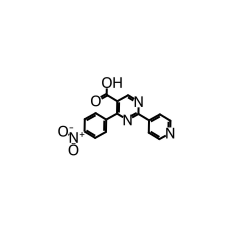 O=C(O)c1cnc(-c2ccncc2)nc1-c1ccc([N+](=O)[O-])cc1